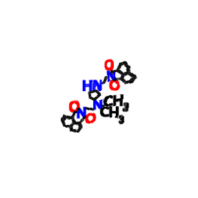 CC(C)N(CCN1C(=O)c2cccc3cccc(c23)C1=O)C1CCC(NCCN2C(=O)c3cccc4cccc(c34)C2=O)C1